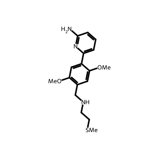 COc1cc(-c2cccc(N)n2)c(OC)cc1CNCCSC